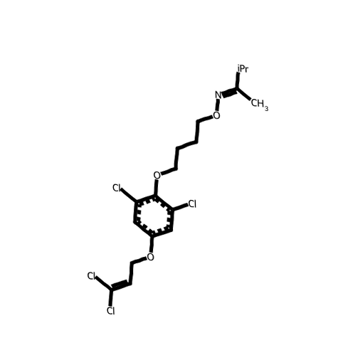 C/C(=N\OCCCCOc1c(Cl)cc(OCC=C(Cl)Cl)cc1Cl)C(C)C